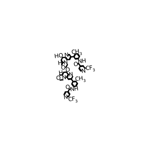 Cc1ccc(NC(=O)c2ccnc(C(F)(F)F)c2)cc1-c1cnc2c(c1)N1CC(O[C@@H]3C[C@@H]4COCCN4c4cc(-c5cc(NC(=O)c6ccnc(C(F)(F)F)c6)ccc5C)cnc43)OC[C@@H]1C[C@@H]2O